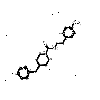 O=C(O)c1ccc(CCNC(=O)N2CCC(Cc3ccccc3)CC2)cc1